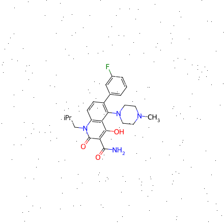 CC(C)Cn1c(=O)c(C(N)=O)c(O)c2c(N3CCN(C)CC3)c(-c3cccc(F)c3)ccc21